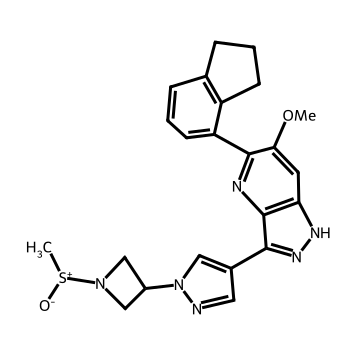 COc1cc2[nH]nc(-c3cnn(C4CN([S+](C)[O-])C4)c3)c2nc1-c1cccc2c1CCC2